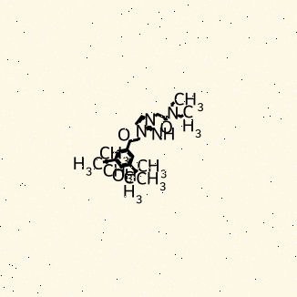 CCN(CC)C(=O)Cn1ccn(CC(=O)c2cc(C(C)(C)C)c(O)c(C(C)(C)C)c2)c1=N